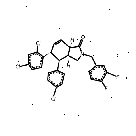 O=C1[C@@H]2C=C[C@@H](c3ccc(Cl)cc3Cl)[C@H](c3ccc(Cl)cc3)[C@@H]2CN1Cc1ccc(F)c(F)c1